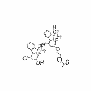 CC(=O)OCCOc1cc(Cl)c2c(c1)[C@@](O)(C(F)(F)F)c1ccccc1-2.Oc1cc(Cl)c2c(c1)[C@@](O)(C(F)(F)F)c1ccccc1-2